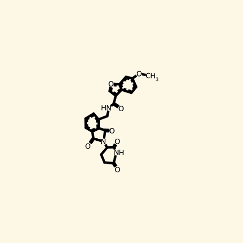 COc1ccc2c(C(=O)NCc3cccc4c3C(=O)N(C3CCC(=O)NC3=O)C4=O)coc2c1